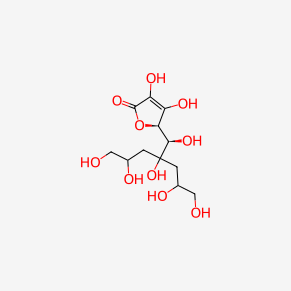 O=C1O[C@H]([C@@H](O)C(O)(CC(O)CO)CC(O)CO)C(O)=C1O